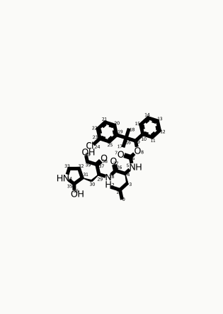 CC(C)C[C@H](NC(=O)OC(c1ccccc1)C(C)(C)c1cccc(Cl)c1)C(=O)N[C@@H](C[C@@H]1CCNC1O)C(=O)CO